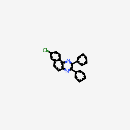 Clc1ccc2c(ccc3nc(-c4ccccc4)c(-c4ccccc4)nc32)c1